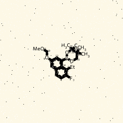 CCc1c(F)ccc2cc(OCOC)cc(B3OCC(C)(C)C(C)(C)O3)c12